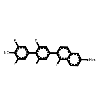 CCCCCCc1ccc2c(F)c(-c3cc(F)c(-c4cc(F)c(C#N)c(F)c4)c(F)c3)ccc2c1